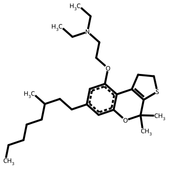 CCCCCC(C)CCc1cc(OCCN(CC)CC)c2c(c1)OC(C)(C)C1=C2CCS1